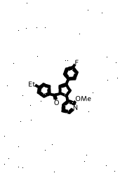 CCc1ccc(C(=O)C2C=C(c3ccc(F)cc3)CC2c2cccnc2OC)cc1